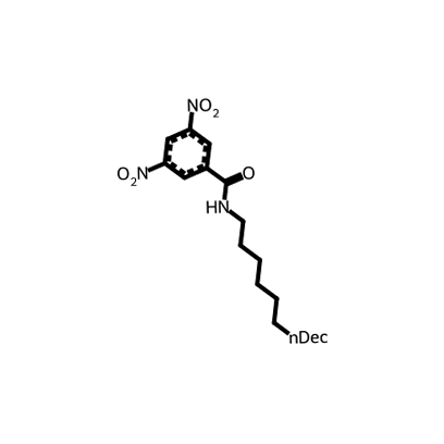 CCCCCCCCCCCCCCCCNC(=O)c1cc([N+](=O)[O-])cc([N+](=O)[O-])c1